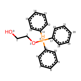 OCCO[PH](c1ccccc1)(c1ccccc1)c1ccccc1